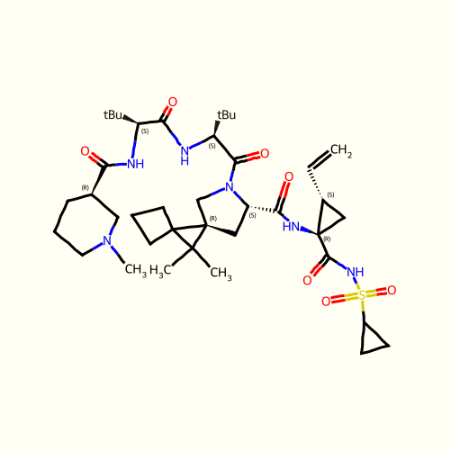 C=C[C@@H]1C[C@]1(NC(=O)[C@@H]1C[C@@]2(CN1C(=O)[C@@H](NC(=O)[C@@H](NC(=O)[C@@H]1CCCN(C)C1)C(C)(C)C)C(C)(C)C)C(C)(C)C21CCC1)C(=O)NS(=O)(=O)C1CC1